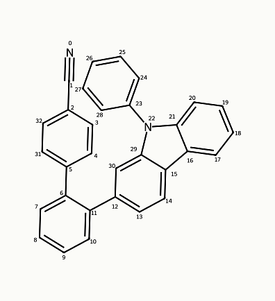 N#Cc1ccc(-c2ccccc2-c2ccc3c4ccccc4n(-c4ccccc4)c3c2)cc1